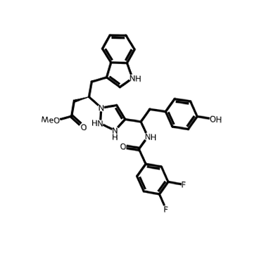 COC(=O)C[C@@H](Cc1c[nH]c2ccccc12)N1C=C(C(Cc2ccc(O)cc2)NC(=O)c2ccc(F)c(F)c2)NN1